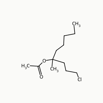 CCCCCC(C)(CCCCl)OC(C)=O